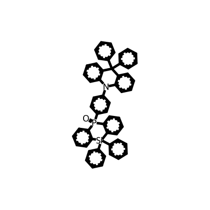 O=P1(c2ccc(N3c4ccccc4C(c4ccccc4)(c4ccccc4)c4ccccc43)cc2)c2ccccc2[Si](c2ccccc2)(c2ccccc2)c2ccccc21